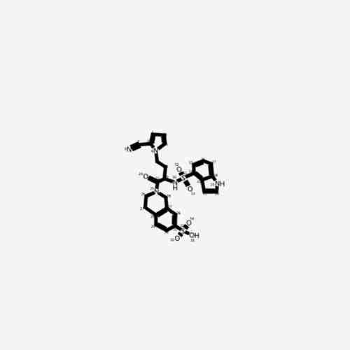 N#Cc1cccn1CCC(NS(=O)(=O)c1cccc2[nH]ccc12)C(=O)N1CCc2ccc(S(=O)(=O)O)cc2C1